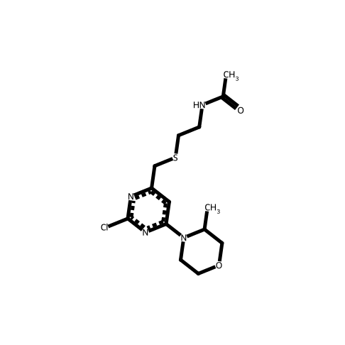 CC(=O)NCCSCc1cc(N2CCOCC2C)nc(Cl)n1